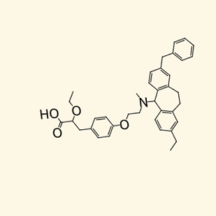 CCOC(Cc1ccc(OCCN(C)C2c3ccc(CC)cc3CCc3cc(Cc4ccccc4)ccc32)cc1)C(=O)O